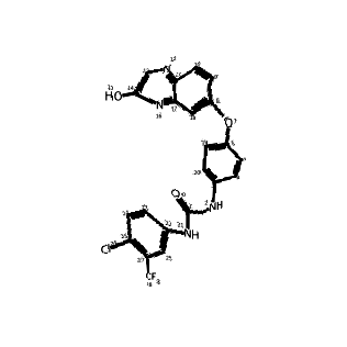 O=C(Nc1ccc(Oc2ccc3ncc(O)nc3c2)cc1)Nc1ccc(Cl)c(C(F)(F)F)c1